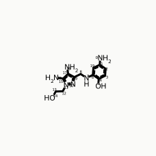 Nc1ccc(O)c(NCc2nn(CCO)c(N)c2N)c1